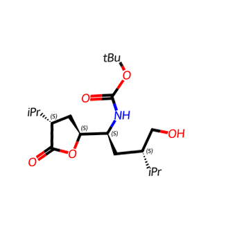 CC(C)[C@@H](CO)C[C@H](NC(=O)OC(C)(C)C)[C@@H]1C[C@@H](C(C)C)C(=O)O1